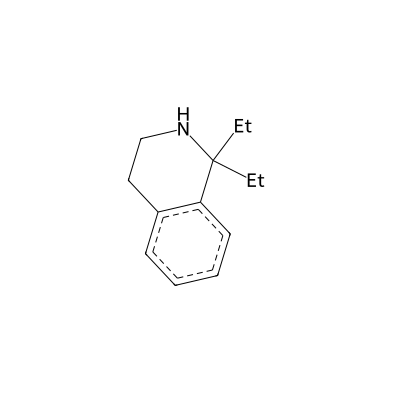 CCC1(CC)NCCc2ccccc21